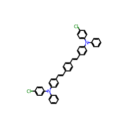 Clc1ccc(N(c2ccccc2)c2ccc(C=Cc3ccc(C=Cc4ccc(N(c5ccccc5)c5ccc(Cl)cc5)cc4)cc3)cc2)cc1